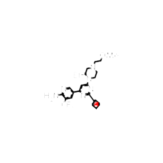 CC[C@H]1CN(CCOC)CCN1c1cc(-c2cnc(N)c(C(F)(F)F)c2)nc(N2CC3CC2C3)n1